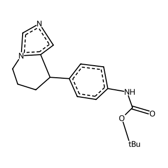 CC(C)(C)OC(=O)Nc1ccc(C2CCCn3cncc32)cc1